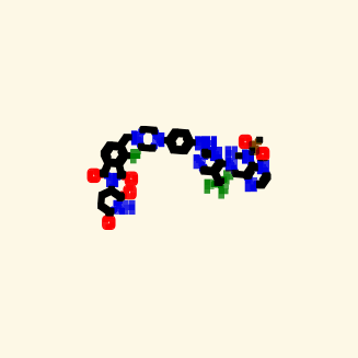 CN(c1nccnc1CNc1nc(Nc2ccc(N3CCN(Cc4ccc5c(c4F)C(=O)N(C4CCC(=O)NC4=O)C5=O)CC3)cc2)ncc1C(F)(F)F)S(C)(=O)=O